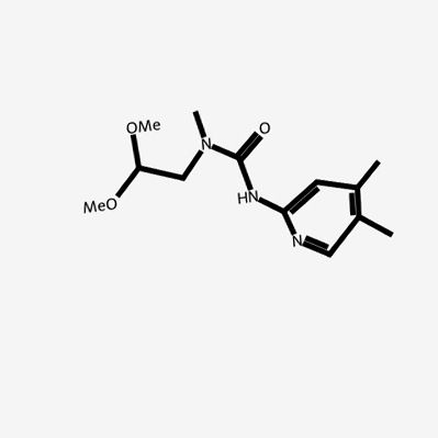 COC(CN(C)C(=O)Nc1cc(C)c(C)cn1)OC